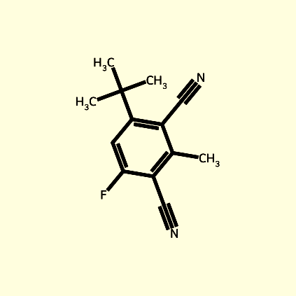 Cc1c(C#N)c(F)cc(C(C)(C)C)c1C#N